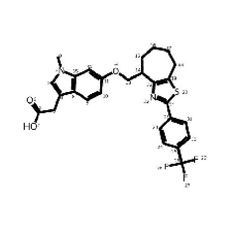 Cn1cc(CC(=O)O)c2ccc(OCC3CCCCc4sc(-c5ccc(C(F)(F)F)cc5)nc43)cc21